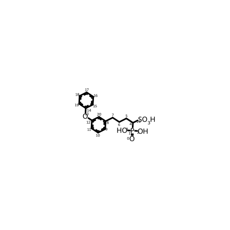 O=P(O)(O)C(CCCc1cccc(Oc2ccccc2)c1)S(=O)(=O)O